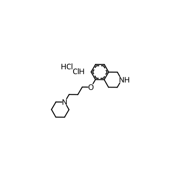 Cl.Cl.c1cc2c(c(OCCCN3CCCCC3)c1)CCNC2